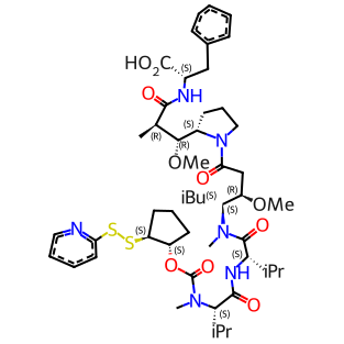 CC[C@H](C)[C@@H]([C@@H](CC(=O)N1CCC[C@H]1[C@H](OC)[C@@H](C)C(=O)N[C@@H](Cc1ccccc1)C(=O)O)OC)N(C)C(=O)[C@@H](NC(=O)[C@H](C(C)C)N(C)C(=O)O[C@H]1CCC[C@@H]1SSc1ccccn1)C(C)C